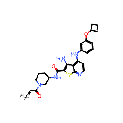 C=CC(=O)N1CCCC(NC(=O)c2sc3nccc(Nc4cccc(OC5CCC5)c4)c3c2N)C1